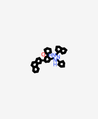 c1ccc(C2N=C(c3cccc4ccccc34)NC(c3ccc(-c4ccc5ccc6ccccc6c5c4)c4oc5ccccc5c34)N2)cc1